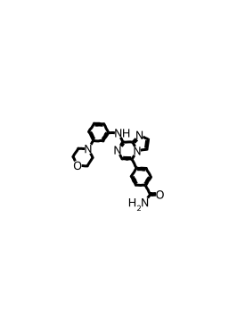 NC(=O)c1ccc(-c2cnc(Nc3cccc(N4CCOCC4)c3)c3nccn23)cc1